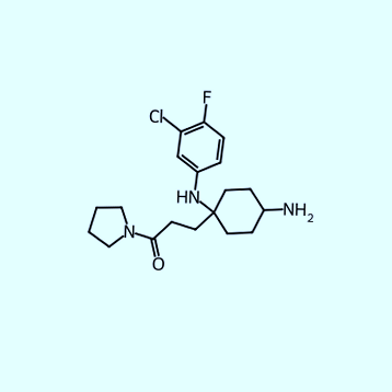 NC1CCC(CCC(=O)N2CCCC2)(Nc2ccc(F)c(Cl)c2)CC1